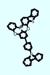 O=P12c3ccccc3Oc3cc(-c4ccc(-n5c6ccccc6c6ccccc65)cc4)cc(c31)Oc1c2ccc2c1sc1ccccc12